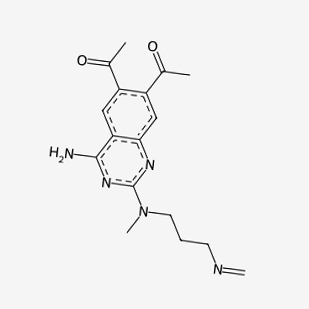 C=NCCCN(C)c1nc(N)c2cc(C(C)=O)c(C(C)=O)cc2n1